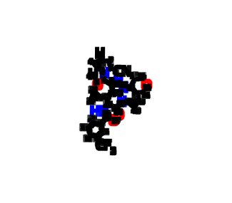 N#C[C@@H]1C[C@H]2C[C@H]2N1C(=O)c1nn(C2CCOCC2)c2c1[C@H](C1CC1)[C@H](NC(=O)c1cccc(C(F)(F)F)c1)C(=O)N2C1CC1